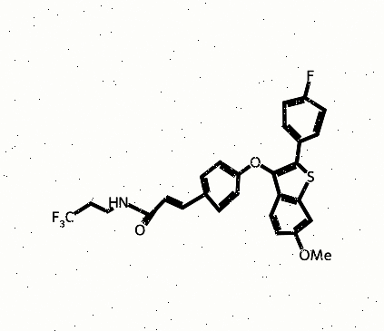 COc1ccc2c(Oc3ccc(C=CC(=O)NCCC(F)(F)F)cc3)c(-c3ccc(F)cc3)sc2c1